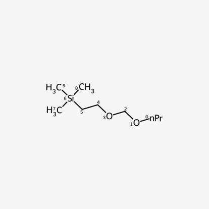 CCCOCOCC[Si](C)(C)C